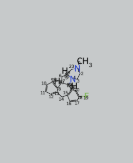 CN1CCN2[C@H](C[C@@H]3c4ccccc4Cc4ccc(F)cc4[C@H]32)C1